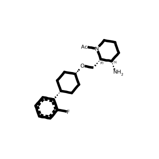 CC(=O)N1CCC[C@H](N)[C@@H]1CO[C@H]1CC[C@@H](c2ccccc2F)CC1